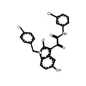 O=C(Nc1cccc(Cl)c1)C(=O)c1c(Cl)n(Cc2ccc(Cl)cc2)c2ccc(O)cc12